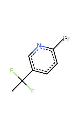 CC(C)c1ccc(C(C)(F)F)cn1